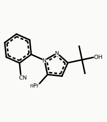 CCCc1cc(C(C)(C)O)nn1-c1ccccc1C#N